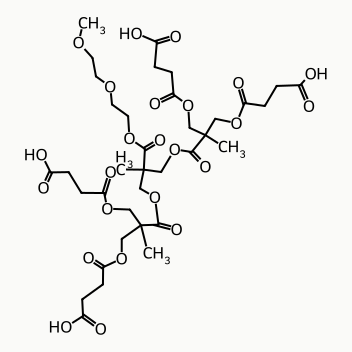 COCCOCCOC(=O)C(C)(COC(=O)C(C)(COC(=O)CCC(=O)O)COC(=O)CCC(=O)O)COC(=O)C(C)(COC(=O)CCC(=O)O)COC(=O)CCC(=O)O